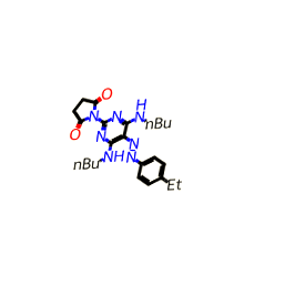 CCCCNc1nc(N2C(=O)CCC2=O)nc(NCCCC)c1N=Nc1ccc(CC)cc1